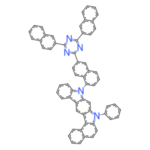 c1ccc(-n2c3cc4c(cc3c3c5ccccc5ccc32)c2ccccc2n4-c2cccc3cc(-c4nc(-c5ccc6ccccc6c5)nc(-c5ccc6ccccc6c5)n4)ccc23)cc1